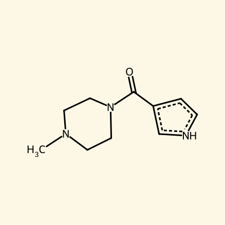 CN1CCN(C(=O)c2cc[nH]c2)CC1